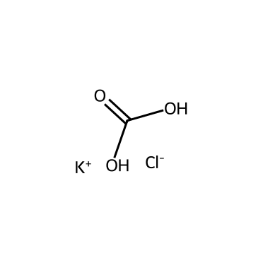 O=C(O)O.[Cl-].[K+]